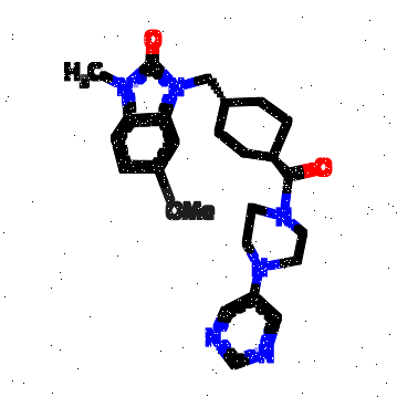 COc1ccc2c(c1)n(C[C@H]1CC[C@H](C(=O)N3CCN(c4cncnc4)CC3)CC1)c(=O)n2C